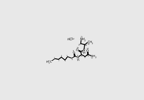 CCCCCCCC(=O)NC(CC(N)=O)C(=O)NC(C)CN.Cl